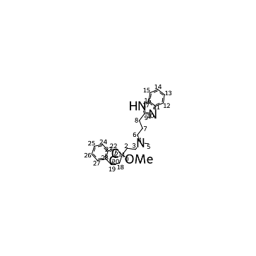 COC1(CCN(C)CCCc2nc3ccccc3[nH]2)CC2CCC1c1ccccc12